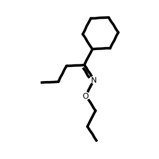 CCCON=C(CCC)C1CCCCC1